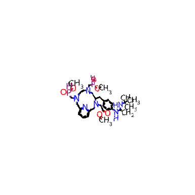 C=C(Nc1ccc(CC2CN(C[PH](=O)OC)CCN(C[PH](=O)OC)Cc3cccc(n3)CN2CC(=O)OC)cc1)NC(C)(C)C